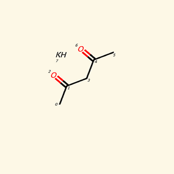 CC(=O)CC(C)=O.[KH]